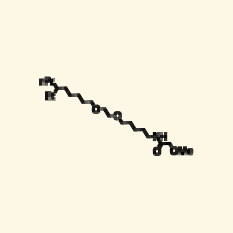 CCCC(CC)CCCCCOCCOCCCCCNC(=O)COC